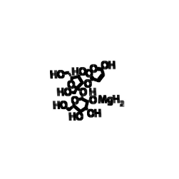 O=C(O)/C=C\C(=O)O[C@H]1[C@H](O)[C@@H](CO)O[C@@]1(CO)O[C@H]1O[C@H](CO)[C@@H](O)[C@H](O)[C@H]1O.[MgH2]